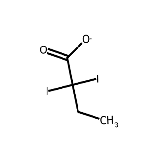 CCC(I)(I)C([O])=O